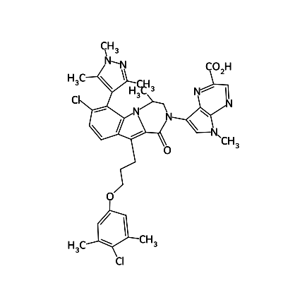 Cc1cc(OCCCc2c3n(c4c(-c5c(C)nn(C)c5C)c(Cl)ccc24)C(C)CN(c2cn(C)c4ncc(C(=O)O)nc24)C3=O)cc(C)c1Cl